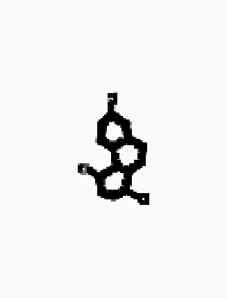 Clc1[c]c2ccc3c(Cl)[c]cc(Cl)c3c2cc1